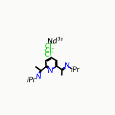 CC(=NC(C)C)c1cccc(C(C)=NC(C)C)n1.[Cl-].[Cl-].[Cl-].[Nd+3]